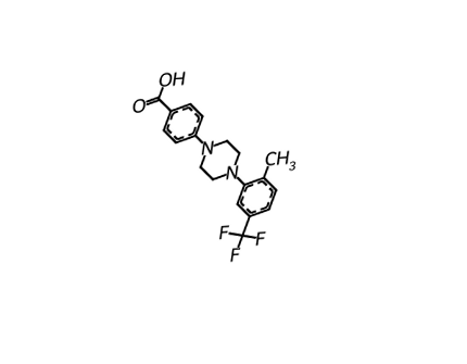 Cc1ccc(C(F)(F)F)cc1N1CCN(c2ccc(C(=O)O)cc2)CC1